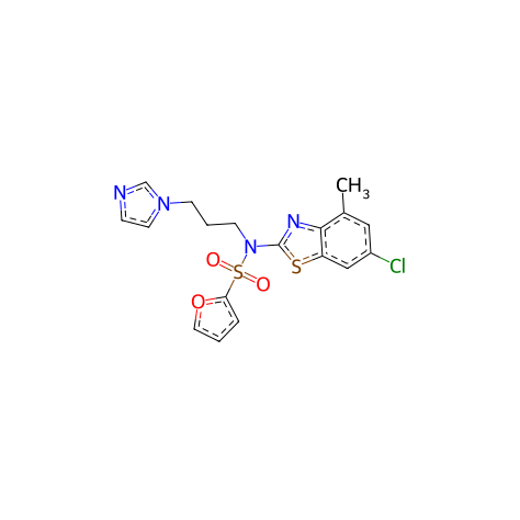 Cc1cc(Cl)cc2sc(N(CCCn3ccnc3)S(=O)(=O)c3ccco3)nc12